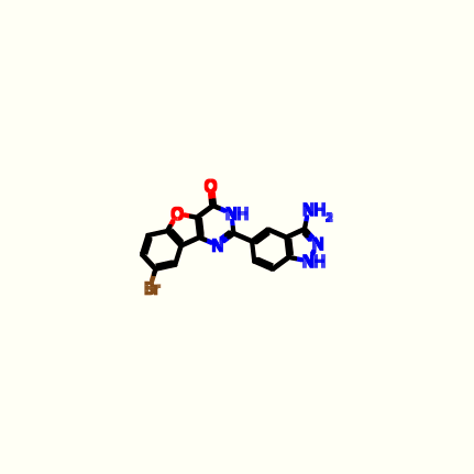 Nc1n[nH]c2ccc(-c3nc4c(oc5ccc(Br)cc54)c(=O)[nH]3)cc12